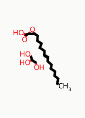 CCCCCCCCC=CCCCCCC1OC1C(=O)O.OCC(O)CO